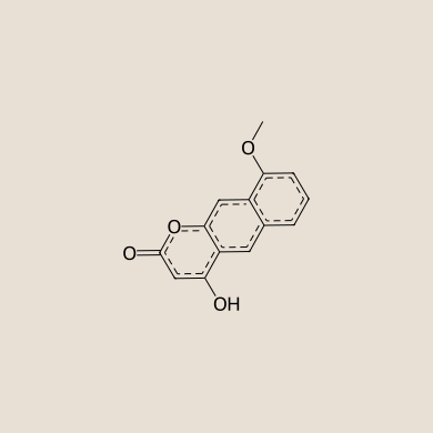 COc1cccc2cc3c(O)cc(=O)oc3cc12